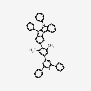 Cc1cc(-c2nc(-c3ccccc3)nc(-c3ccccc3)n2)cc(C)c1-c1ccc2c(c1)c1c3ccccc3n(-c3ccccc3)c1n2-c1ccccc1